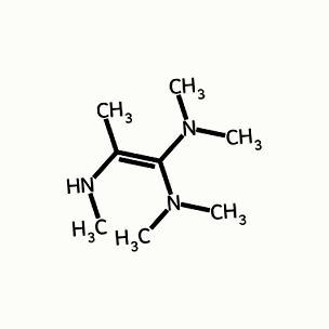 CNC(C)=C(N(C)C)N(C)C